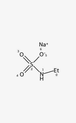 CCNS(=O)(=O)[O-].[Na+]